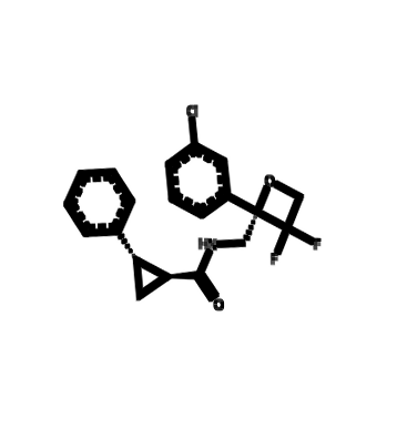 O=C(NC[C@]1(c2cccc(Cl)c2)OCC1(F)F)[C@H]1C[C@@H]1c1ccccc1